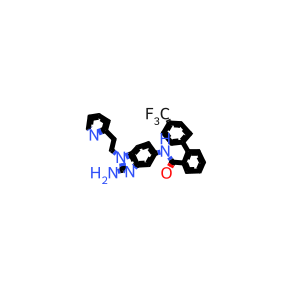 Nc1nc2cc(NC(=O)c3ccccc3-c3ccc(C(F)(F)F)cc3)ccc2n1CCc1ccccn1